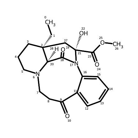 CC[C@@]12CCCN3CCC(=O)c4ccccc4N(C(=O)[C@@H]31)[C@](O)(C(=O)OC)C2